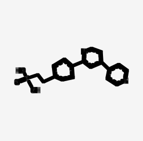 O=P(O)(O)CCc1ccc(-c2cc(-c3ccncc3)ccn2)cc1